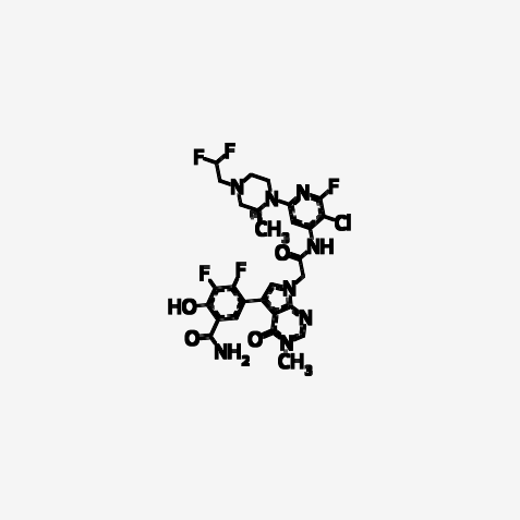 C[C@H]1CN(CC(F)F)CCN1c1cc(NC(=O)Cn2cc(-c3cc(C(N)=O)c(O)c(F)c3F)c3c(=O)n(C)cnc32)c(Cl)c(F)n1